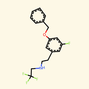 Fc1cc(CCNCC(F)(F)F)cc(OCc2ccccc2)c1